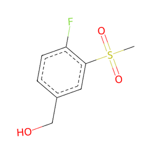 CS(=O)(=O)c1cc(CO)ccc1F